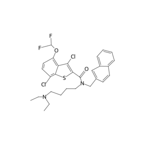 CCN(CC)CCCCN(Cc1ccc2ccccc2c1)C(=O)c1sc2c(Cl)ccc(OC(F)F)c2c1Cl